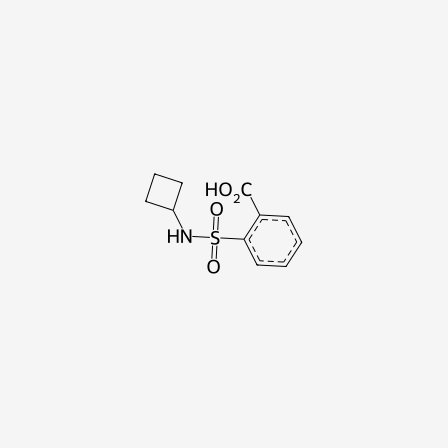 O=C(O)c1ccccc1S(=O)(=O)NC1CCC1